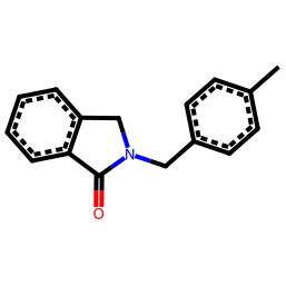 Cc1ccc(CN2Cc3ccccc3C2=O)cc1